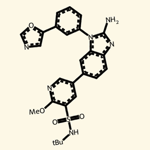 COc1ncc(-c2ccc3nc(N)n(-c4cccc(-c5cnco5)c4)c3c2)cc1S(=O)(=O)NC(C)(C)C